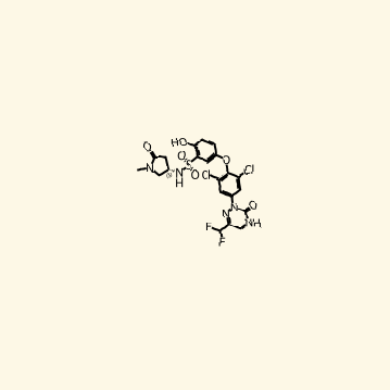 CN1C[C@@H](NS(=O)(=O)c2cc(Oc3c(Cl)cc(N4N=C(C(F)F)CNC4=O)cc3Cl)ccc2O)CC1=O